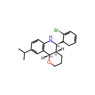 CC(C)c1ccc2c(c1)[C@H]1OCCC[C@H]1[C@H](C1CC=CC=C1Br)N2